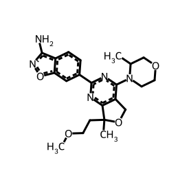 COCCC1(C)OCc2c(N3CCOCC3C)nc(-c3ccc4c(N)noc4c3)nc21